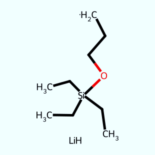 [CH2]CCO[Si](CC)(CC)CC.[LiH]